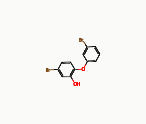 Oc1cc(Br)ccc1Oc1cccc(Br)c1